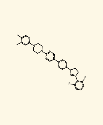 Cc1ccc(N2CCN(c3ncc(-c4ccc(C5CCC(c6c(F)cccc6F)=N5)cc4)cn3)CC2)cc1C